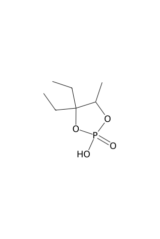 CCC1(CC)OP(=O)(O)OC1C